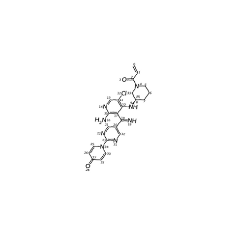 C=CC(=O)N1CCC[C@@H](Nc2c(Cl)cnc(N)c2C(=N)c2cnc(-n3ccc(=O)cc3)nc2)C1